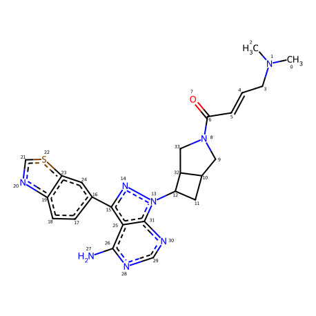 CN(C)CC=CC(=O)N1CC2CC(n3nc(-c4ccc5ncsc5c4)c4c(N)ncnc43)C2C1